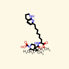 COC(=O)C(CCCCCCCc1ccc2c(n1)NCCC2)NC(=O)C1(C(C)(C)C)CCN(C(=O)O)C(C)C1